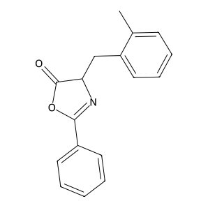 Cc1ccccc1CC1N=C(c2ccccc2)OC1=O